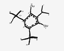 CC(C)c1c(O)c(C(C)(C)C)cc(C(C)(C)C)c1O